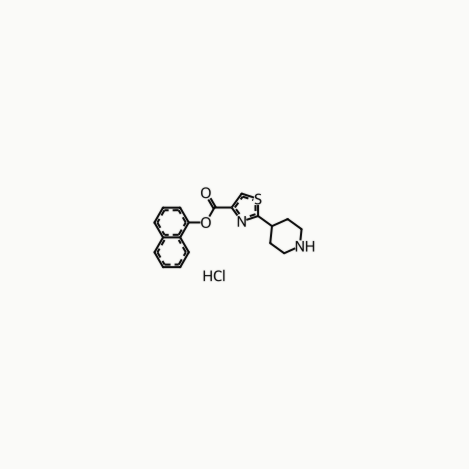 Cl.O=C(Oc1cccc2ccccc12)c1csc(C2CCNCC2)n1